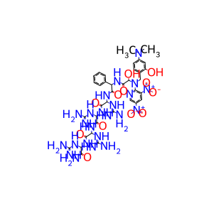 CN(C)c1ccc(CN(c2ncc([N+](=O)[O-])cc2[N+](=O)[O-])C(O)C(=O)NC(C(=O)NC(NC(=N)N)C(=O)NC(NC(=N)N)C(=O)NC(NC(=N)N)C(=O)NC(NC(=N)N)C(N)=O)c2ccccc2)c(O)c1